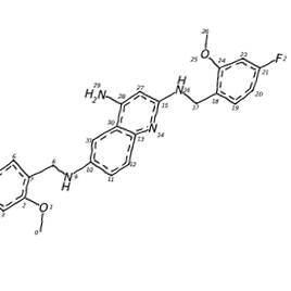 COc1ccccc1CNc1ccc2nc(NCc3ccc(F)cc3OC)cc(N)c2c1